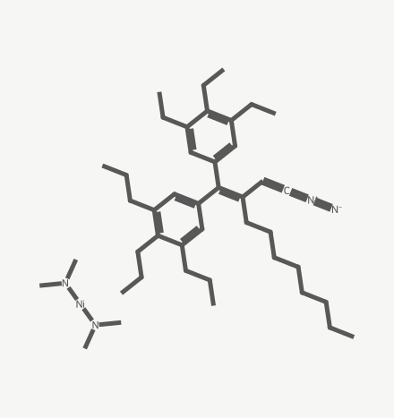 CCCCCCCCC(C=C=[N+]=[N-])=C(c1cc(CC)c(CC)c(CC)c1)c1cc(CCC)c(CCC)c(CCC)c1.C[N](C)[Ni][N](C)C